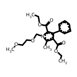 CCOC(=O)c1c(-c2ccccc2)c(C(=O)OCC)n(COCCOC)c1C